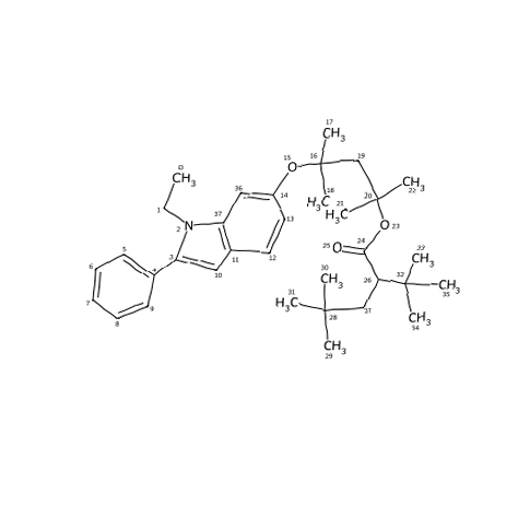 CCn1c(-c2ccccc2)cc2ccc(OC(C)(C)CC(C)(C)OC(=O)C(CC(C)(C)C)C(C)(C)C)cc21